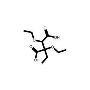 CCOC(C(=O)O)C(CC)(OCC)C(=O)O